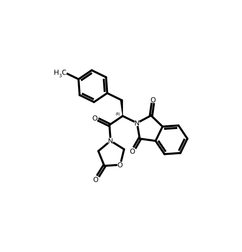 Cc1ccc(C[C@H](C(=O)N2COC(=O)C2)N2C(=O)c3ccccc3C2=O)cc1